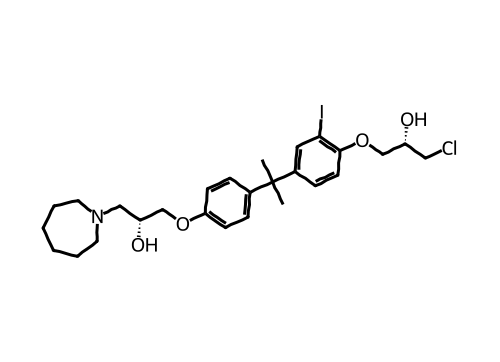 CC(C)(c1ccc(OC[C@H](O)CN2CCCCCC2)cc1)c1ccc(OC[C@H](O)CCl)c(I)c1